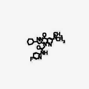 CN(C)c1cnc2c(c1)C(=O)N1N=C(C3CCCCC3)CC1N2CC(=O)Nc1ccc(F)cn1